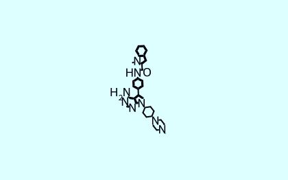 CN1CCN(C2CCC(n3cc(-c4ccc(NC(=O)c5cc6ccccc6n5C)cc4)c4c(N)ncnc43)CC2)CC1